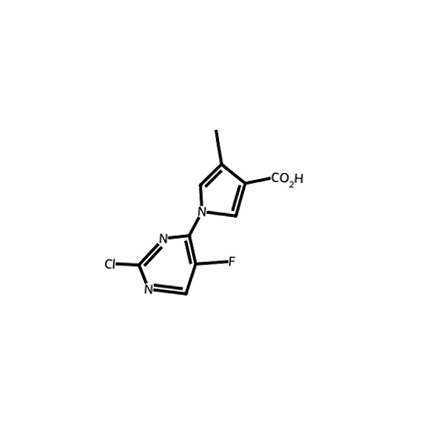 Cc1cn(-c2nc(Cl)ncc2F)cc1C(=O)O